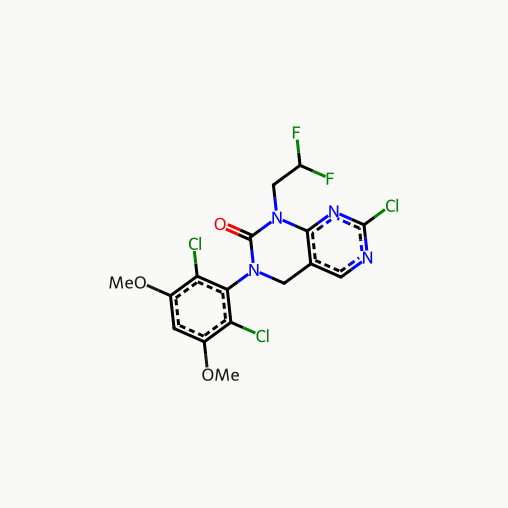 COc1cc(OC)c(Cl)c(N2Cc3cnc(Cl)nc3N(CC(F)F)C2=O)c1Cl